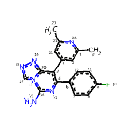 Cc1cc(-c2c(-c3ccc(F)cc3)nc(N)n3cnnc23)cc(C)n1